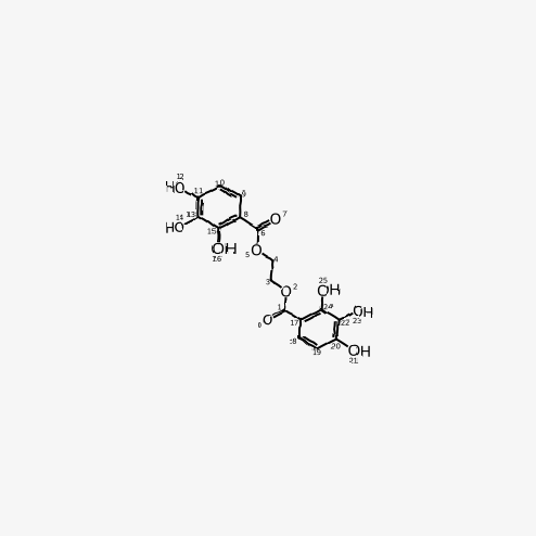 O=C(OCCOC(=O)c1ccc(O)c(O)c1O)c1ccc(O)c(O)c1O